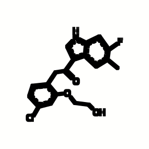 Cc1cc2c(C(=O)Cc3ccc(Cl)cc3OCCO)c[nH]c2cc1F